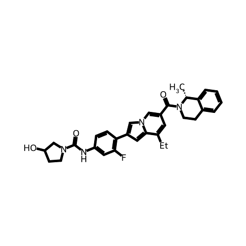 CCc1cc(C(=O)N2CCc3ccccc3[C@H]2C)cn2cc(-c3ccc(NC(=O)N4CCC(O)C4)cc3F)cc12